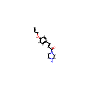 C=CCOc1ccc(C=CC(=O)N2CCNCC2)cc1